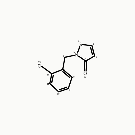 O=c1ccsn1Cc1ccccc1Cl